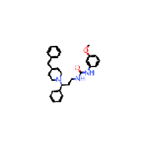 COc1cccc(NC(=O)NCCC(c2ccccc2)N2CCC(Cc3ccccc3)CC2)c1